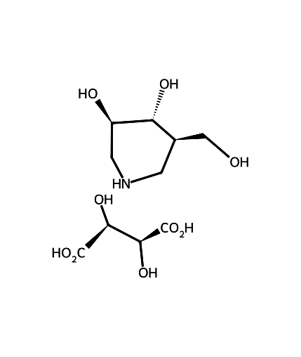 O=C(O)[C@@H](O)[C@H](O)C(=O)O.OC[C@H]1CNC[C@@H](O)[C@@H]1O